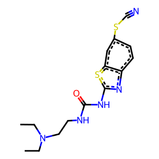 CCN(CC)CCNC(=O)Nc1nc2ccc(SC#N)cc2s1